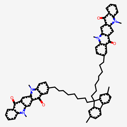 Cc1ccc2c(c1)C(CCCCCCCCc1ccc3c(c1)c(=O)c1cc4c(cc1n3C)c(=O)c1ccccc1n4C)(CCCCCCCCc1ccc3c(c1)c(=O)c1cc4c(cc1n3C)c(=O)c1ccccc1n4C)c1cc(C)ccc1-2